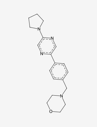 c1cc(-c2cnc(N3CCCC3)cn2)ccc1CN1CCOCC1